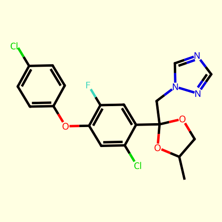 CC1COC(Cn2cncn2)(c2cc(F)c(Oc3ccc(Cl)cc3)cc2Cl)O1